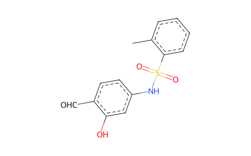 Cc1ccccc1S(=O)(=O)Nc1ccc(C=O)c(O)c1